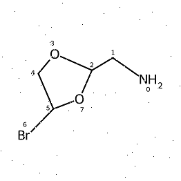 NCC1OCC(Br)O1